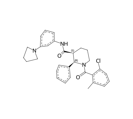 Cc1cccc(Cl)c1C(=O)N1CCC[C@H](C(=O)Nc2cccc(N3CCCC3)c2)[C@@H]1c1ccccc1